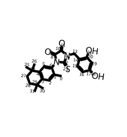 Cc1cc2c(cc1N1C(=O)C(=O)N(Cc3ccc(O)cc3O)C1=S)C(C)(C)CCC2(C)C